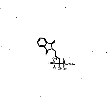 COP(=O)(O)C(O)(CCCN1C(=O)c2ccccc2C1=O)P(=O)(O)O